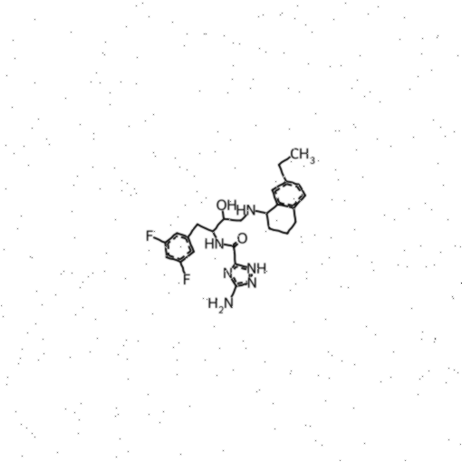 CCc1ccc2c(c1)C(NCC(O)C(Cc1cc(F)cc(F)c1)NC(=O)c1nc(N)n[nH]1)CCC2